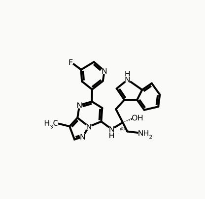 Cc1cnn2c(N[C@](O)(CN)Cc3c[nH]c4ccccc34)cc(-c3cncc(F)c3)nc12